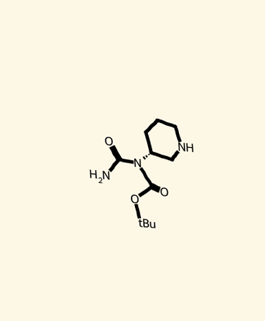 CC(C)(C)OC(=O)N(C(N)=O)[C@@H]1CCCNC1